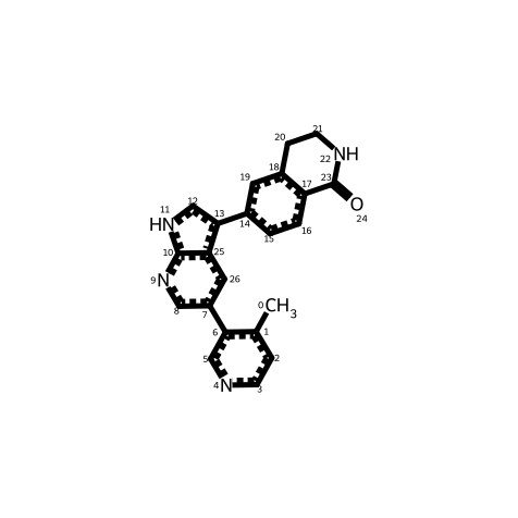 Cc1ccncc1-c1cnc2[nH]cc(-c3ccc4c(c3)CCNC4=O)c2c1